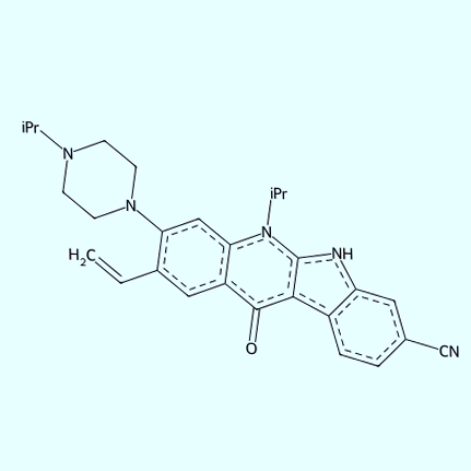 C=Cc1cc2c(=O)c3c4ccc(C#N)cc4[nH]c3n(C(C)C)c2cc1N1CCN(C(C)C)CC1